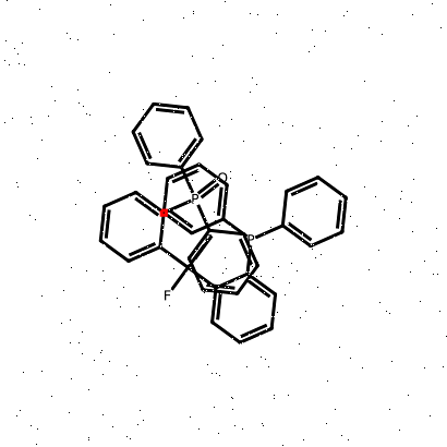 O=P(c1ccccc1)(c1ccccc1)c1ccccc1C(F)(F)c1ccccc1P(c1ccccc1)c1ccccc1